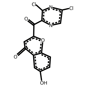 O=C(c1cc(=O)c2cc(O)ccc2o1)c1ncc(Cl)nc1Cl